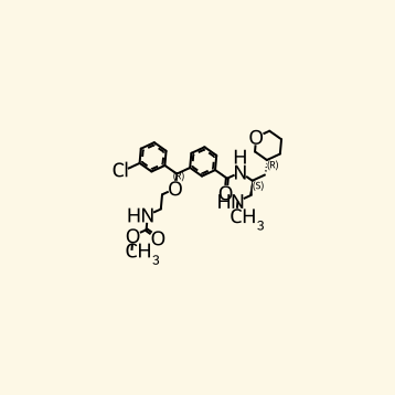 CNC[C@H](C[C@H]1CCCOC1)NC(=O)c1cccc([C@@H](OCCNC(=O)OC)c2cccc(Cl)c2)c1